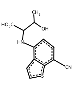 CC(O)C(Nc1ccc(C#N)c2sccc12)C(=O)O